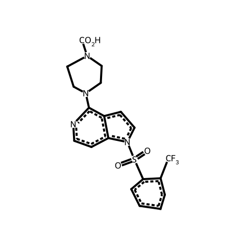 O=C(O)N1CCN(c2nccc3c2ccn3S(=O)(=O)c2ccccc2C(F)(F)F)CC1